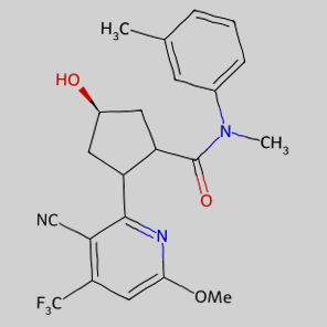 COc1cc(C(F)(F)F)c(C#N)c(C2C[C@@H](O)CC2C(=O)N(C)c2cccc(C)c2)n1